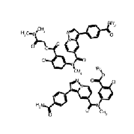 CC(C)OC(=O)c1cc(N(C)C(=O)c2ccn3ncc(-c4ccc(C(N)=O)cc4)c3c2)ccc1Cl.CN(C)C(=O)COC(=O)c1cc(N(C)C(=O)c2ccn3ncc(-c4ccc(C(N)=O)cc4)c3c2)ccc1Cl